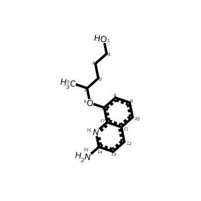 CC(CCCO)Oc1cccc2ccc(N)nc12